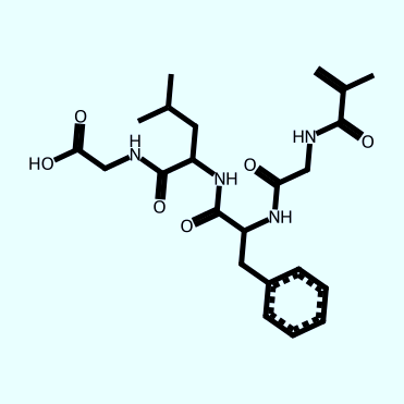 C=C(C)C(=O)NCC(=O)NC(Cc1ccccc1)C(=O)NC(CC(C)C)C(=O)NCC(=O)O